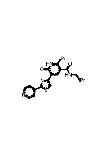 CC(C)CNC(=O)c1cc(-c2csc(-c3ccncc3)n2)c(=O)[nH]c1C(C)C